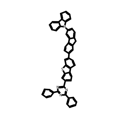 c1ccc(-c2nc(-c3ccccc3)nc(-c3ccc4c(c3)sc3cc(-c5ccc6c(c5)Cc5ccc(-n7c8ccccc8c8ccccc87)cc5-6)ccc34)n2)cc1